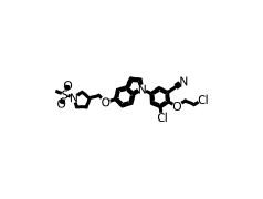 CS(=O)(=O)N1CCC(COc2ccc3c(ccn3-c3cc(Cl)c(OCCCl)c(C#N)c3)c2)C1